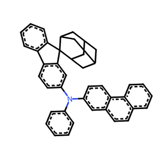 c1ccc(N(c2ccc3c(c2)C2(c4ccccc4-3)C3CC4CC(C3)CC2C4)c2ccc3c(ccc4ccccc43)c2)cc1